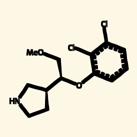 COC[C@@H](Oc1cccc(Cl)c1Cl)[C@H]1CCNC1